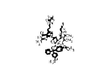 COc1ccc(C(OC[C@H]2O[C@@H](n3nc(CCCNC(=O)C(F)(F)F)c4c(=O)[nH]c(N)nc43)CC2OP(OCCC#N)N(C(C)C)C(C)C)(c2ccccc2)c2ccc(OC)cc2)cc1